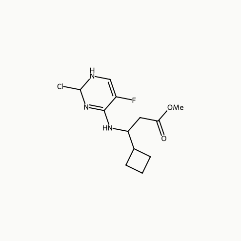 COC(=O)CC(NC1=NC(Cl)NC=C1F)C1CCC1